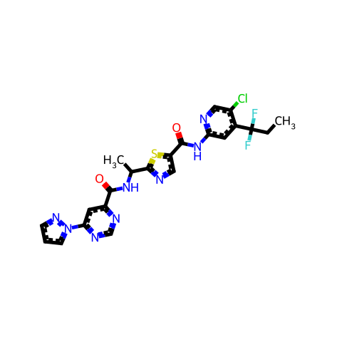 CCC(F)(F)c1cc(NC(=O)c2cnc(C(C)NC(=O)c3cc(-n4cccn4)ncn3)s2)ncc1Cl